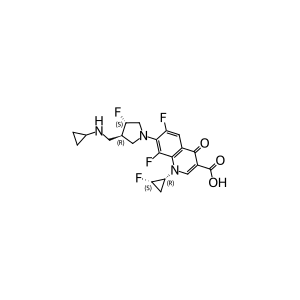 O=C(O)c1cn([C@@H]2C[C@@H]2F)c2c(F)c(N3C[C@@H](CNC4CC4)[C@H](F)C3)c(F)cc2c1=O